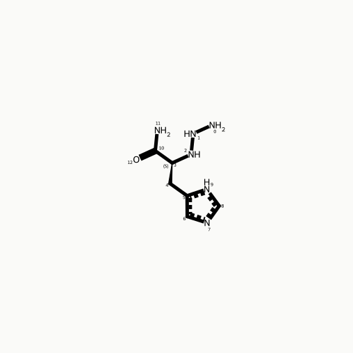 NNN[C@@H](Cc1cnc[nH]1)C(N)=O